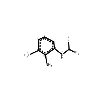 Cc1cccc(NC(F)F)c1N